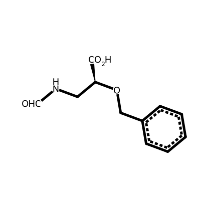 O=CNC[C@H](OCc1ccccc1)C(=O)O